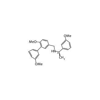 COc1cccc(-c2cc(CN[C@H](C)c3cccc(OC)c3)ccc2OC)c1